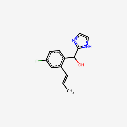 CC=Cc1cc(F)ccc1C(O)c1ncc[nH]1